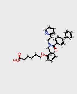 O=C(O)CCCCCOc1ccccc1CN(CCc1ccccn1)C(=O)c1ccc(-c2ccccc2)cc1